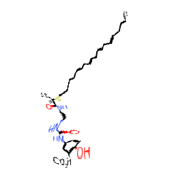 CCC=CCC=CCC=CCC=CCC=CCCCCS[C@H](CC)C(=O)NCCNC(=O)Nc1ccc(O)c(C(=O)O)c1